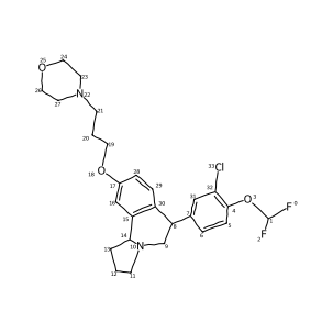 FC(F)Oc1ccc(C2CN3CCCC3c3cc(OCCCN4CCOCC4)ccc32)cc1Cl